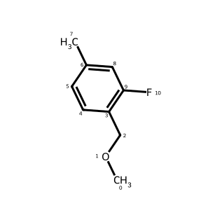 COCc1ccc(C)cc1F